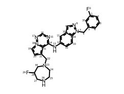 Fc1cccc(Cn2ncc3cc(Nc4ncnn5ccc(CN6CCNCC(F)C6)c45)ccc32)c1